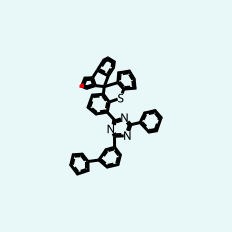 c1ccc(-c2cccc(-c3nc(-c4ccccc4)nc(-c4cccc5c4Sc4ccccc4C54c5ccccc5-c5ccccc54)n3)c2)cc1